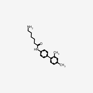 Cc1ccc(-c2ccc(NC(=O)CCCCCN)cc2)c(C)c1